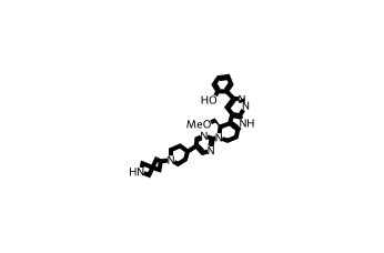 COC[C@H]1c2c([nH]c3nnc(-c4ccccc4O)cc23)CCN1c1ncc(C2CCN(C3CC4(CNC4)C3)CC2)cn1